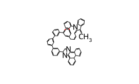 C\C=c1/c(=C\C=C/Cc2cccc(-c3cccc(-c4cccc(-c5cccc(-c6cnc7c(n6)=C6C=CC=CC6C6C=CC=CC=76)c5)c4)c3)c2)n(-c2ccccc2)c2ccccc12